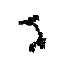 Cc1ncsc1-c1ccc(CNC(=O)[C@@H]2C[C@@H](O)CN2C(=O)[C@H](CC(C)C)NC(=O)COCCOCCOCCOc2ccc(C(=O)c3c(-c4ccc(O)cc4)sc4cc(O)ccc34)cc2)cc1